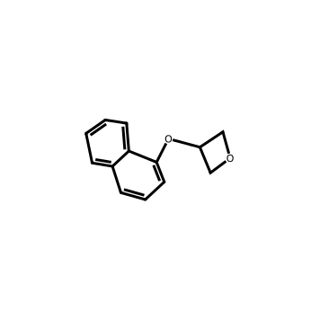 c1ccc2c(OC3COC3)cccc2c1